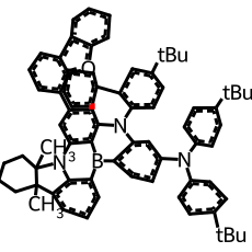 CC(C)(C)c1ccc(N(c2ccc(C(C)(C)C)cc2)c2ccc3c(c2)N(c2ccc(C(C)(C)C)cc2-c2ccccc2)c2cc(-c4cccc5c4oc4ccccc45)cc4c2B3c2cccc3c2N4C2(C)CCCCC32C)cc1